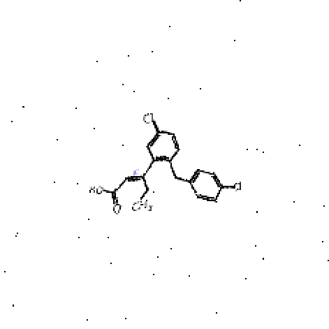 CC/C(=C\C(=O)O)c1cc(Cl)ccc1Cc1ccc(Cl)cc1